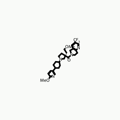 COCC[C@@]1(C(=O)N2CCc3ncc(C(F)(F)F)cc3C2)CCN(C2CCC(c3ccc(OC)nc3)CC2)C1